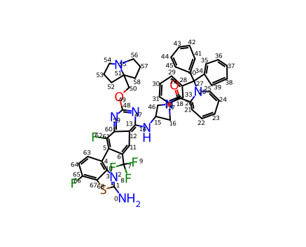 Nc1nc2c(-c3c(C(F)(F)F)cc4c(NC5CN(C(=O)C6=CC=CC=CN6C(c6ccccc6)(c6ccccc6)c6ccccc6)C5)nc(OCC56CCCN5CCC6)nc4c3F)ccc(F)c2s1